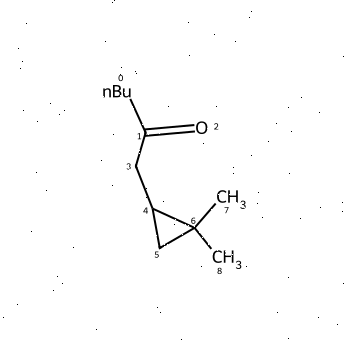 CCCCC(=O)CC1CC1(C)C